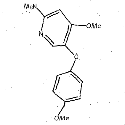 CNc1cc(OC)c(Oc2ccc(OC)cc2)cn1